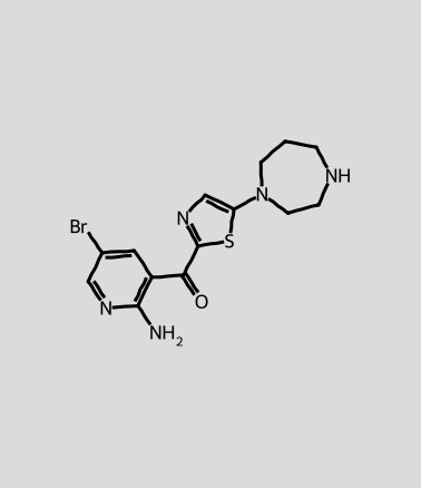 Nc1ncc(Br)cc1C(=O)c1ncc(N2CCCNCC2)s1